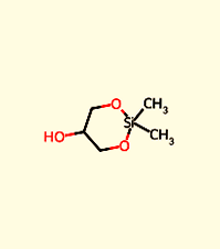 C[Si]1(C)OCC(O)CO1